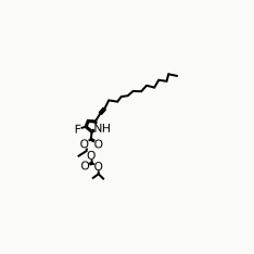 CCCCCCCCCCCCC#Cc1cc(F)c(C(=O)OC(C)OC(=O)OC(C)C)[nH]1